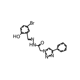 O=C(Cn1cc(-c2ccccc2)nn1)N/N=C/c1cc(Br)ccc1O